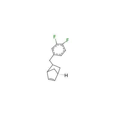 Fc1ccc(CC2C[C@H]3C=CC2C3)cc1F